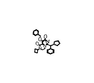 O=C1c2c(OCc3ccccc3)c(=O)nc(C(c3ccccc3)C3CCCC3)n2CCN1C1CCC1